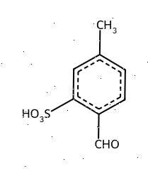 Cc1ccc(C=O)c(S(=O)(=O)O)c1